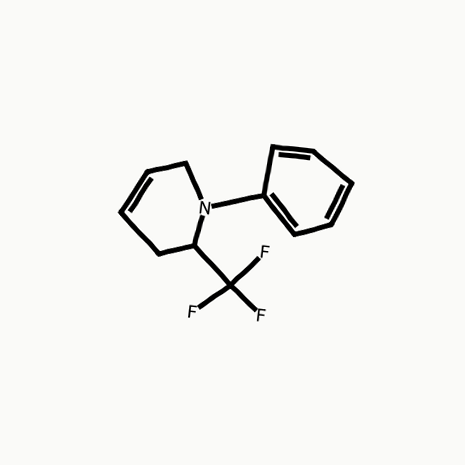 FC(F)(F)C1CC=CCN1c1ccccc1